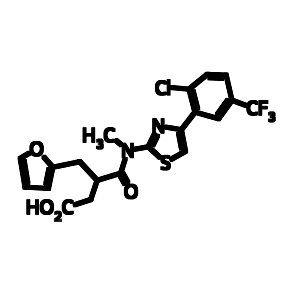 CN(C(=O)C(CC(=O)O)Cc1ccco1)c1nc(-c2cc(C(F)(F)F)ccc2Cl)cs1